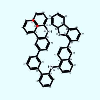 C1=CCCC(c2cc(-c3cccc(-c4ccccc4Nc4cccc5cc(-c6cccc7c6SC6C=CC=CC76)ccc45)c3)ccc2Nc2ccccc2)=C1